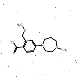 COCc1cc(N2CCCN(C)CC2)ccc1C(=O)Cl